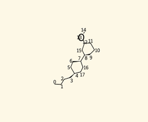 CCCC[C@H]1CC[C@@H]([C@@H]2CCC[C@@H](OC)C2)CC1